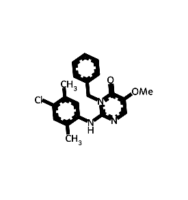 COc1cnc(Nc2cc(C)c(Cl)cc2C)n(Cc2ccccc2)c1=O